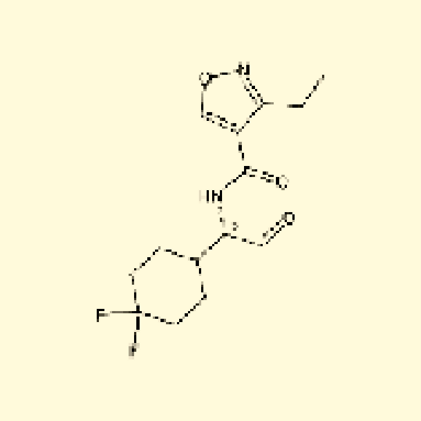 CCc1nocc1C(=O)N[C@H](C=O)C1CCC(F)(F)CC1